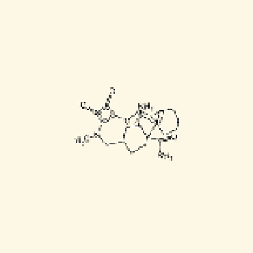 CN(CC1CCC(C(N)=O)(C2(C(N)=O)CCCCC2)CC1)c1c(OCC2CC2)c(=O)c1=O